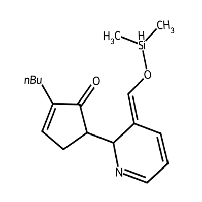 CCCCC1=CCC(C2N=CC=CC2=CO[SiH](C)C)C1=O